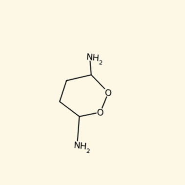 NC1CCC(N)OO1